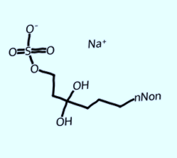 CCCCCCCCCCCCC(O)(O)CCOS(=O)(=O)[O-].[Na+]